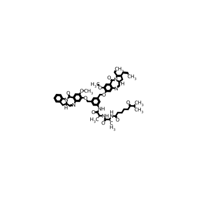 C=CC1=C(/C=C\C)C[C@H]2C=Nc3cc(OCc4cc(COc5cc6c(cc5OC)C(=O)N5c7ccccc7C[C@H]5C=N6)cc(NC(=O)[C@H](C)NC(=O)[C@H](C)NC(=O)CCCCC(=O)C(C)C)c4)c(OC)cc3C(=O)N12